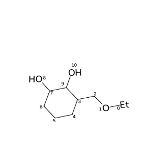 CCOCC1CCCC(O)C1O